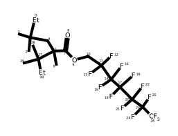 CCC(C)(C)CC(C)(C(=O)OCC(F)(F)C(F)(F)C(F)(F)C(F)(F)C(F)(F)C(F)(F)F)C(C)(C)CC